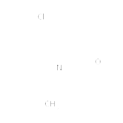 CC1CCC(Cl)CN1C=O